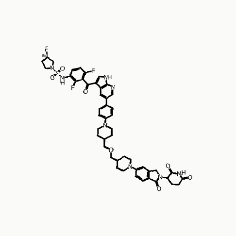 O=C1CCC(N2Cc3cc(N4CCC(COCC5CCN(c6ccc(-c7cnc8[nH]cc(C(=O)c9c(F)ccc(NS(=O)(=O)N%10CC[C@@H](F)C%10)c9F)c8c7)cc6)CC5)CC4)ccc3C2=O)C(=O)N1